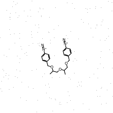 CC(COCc1ccc([N+]#N)cc1)OCC(C)OCc1ccc([N+]#N)cc1